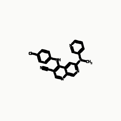 CN(c1cccnc1)c1cc2c(Nc3ccc(Cl)cc3)c(C#N)cnc2cn1